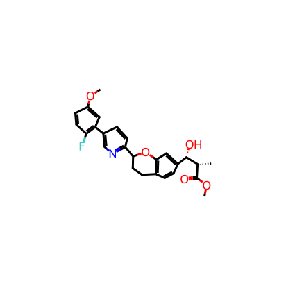 COC(=O)[C@@H](C)[C@@H](O)c1ccc2c(c1)OC(c1ccc(-c3cc(OC)ccc3F)cn1)CC2